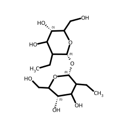 CCC1C(O)[C@H](O)C(CO)O[C@@H]1O[C@H]1OC(CO)[C@@H](O)C(O)C1CC